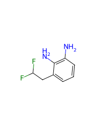 Nc1cccc(CC(F)F)c1N